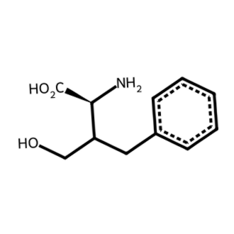 N[C@H](C(=O)O)C(CO)Cc1ccccc1